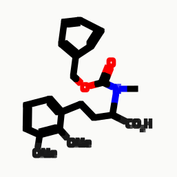 COc1cccc(CCC(C(=O)O)N(C)C(=O)OCc2ccccc2)c1OC